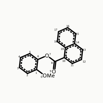 COc1ccccc1OC(=O)c1cccc2ccccc12